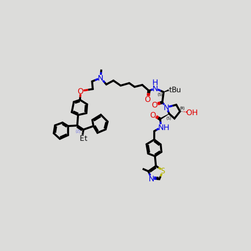 CC/C(=C(\c1ccccc1)c1ccc(OCCN(C)CCCCCCC(=O)N[C@H](C(=O)N2C[C@H](O)C[C@H]2C(=O)NCc2ccc(-c3scnc3C)cc2)C(C)(C)C)cc1)c1ccccc1